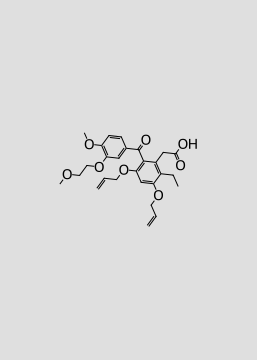 C=CCOc1cc(OCC=C)c(C(=O)c2ccc(OC)c(OCCOC)c2)c(CC(=O)O)c1CC